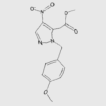 COC(=O)c1c([N+](=O)[O-])cnn1Cc1ccc(OC)cc1